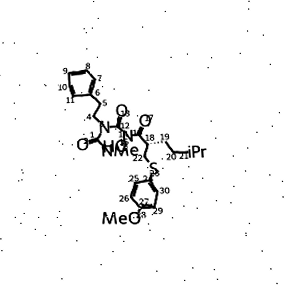 CNC(=O)N(CCc1ccccc1)C(=O)N(O)C(=O)[C@H](CCC(C)C)CSc1ccc(OC)cc1